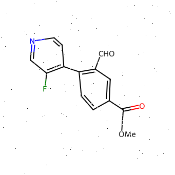 COC(=O)c1ccc(-c2ccncc2F)c(C=O)c1